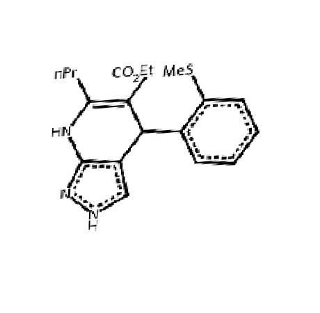 CCCC1=C(C(=O)OCC)C(c2ccccc2SC)c2c[nH]nc2N1